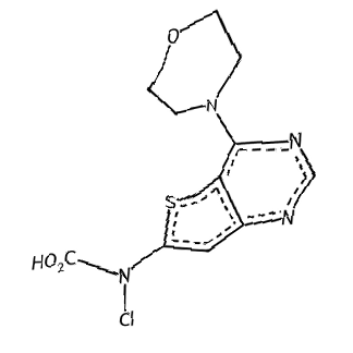 O=C(O)N(Cl)c1cc2ncnc(N3CCOCC3)c2s1